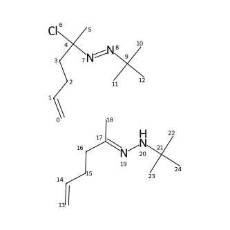 C=CCCC(C)(Cl)N=NC(C)(C)C.C=CCCC(C)=NNC(C)(C)C